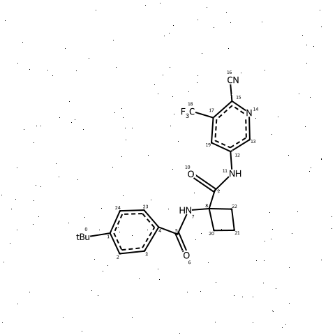 CC(C)(C)c1ccc(C(=O)NC2(C(=O)Nc3cnc(C#N)c(C(F)(F)F)c3)CCC2)cc1